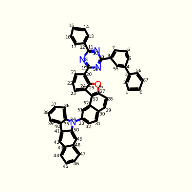 c1ccc(-c2cccc(-c3nc(-c4ccccc4)nc(-c4cccc5c4oc4ccc6ccc(-n7c8ccccc8c8cc9ccccc9cc87)cc6c45)n3)c2)cc1